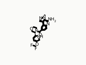 Cn1ncc2c3cc(C(=O)N4CCOC[C@@H]4C4=CC=C(OC(F)F)CN4)ccc3nc(N)c21